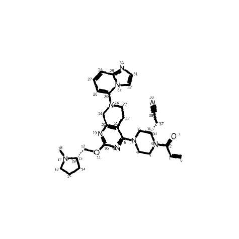 C=CC(=O)N1CCN(c2nc(OC[C@@H]3CCCN3C)nc3c2CCN(c2cccc4nccn24)C3)C[C@@H]1CC#N